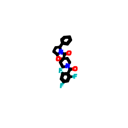 O=C(c1c(F)cc(F)cc1F)N1CCC2(CC1)OC1CCC(c3ccccc3)N1C2=O